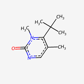 Cc1cnc(=O)n(C)c1C(C)(C)C